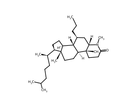 CCC[C@H]1C[C@@H]2N(C)C(=O)CC[C@]2(C)[C@H]2CC[C@]3(C)[C@@H]([C@H](C)CCCC(C)C)CC[C@H]3[C@H]12